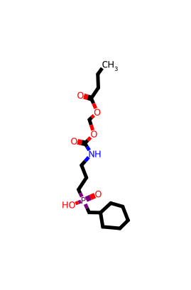 CCCC(=O)OCOC(=O)NCCCP(=O)(O)CC1CCCCC1